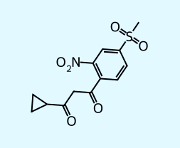 CS(=O)(=O)c1ccc(C(=O)CC(=O)C2CC2)c([N+](=O)[O-])c1